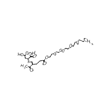 CCCOCCOCCOOCCOCCOC(=O)CCC(CSC(CC(=O)O)C(=O)O)C(C)=O